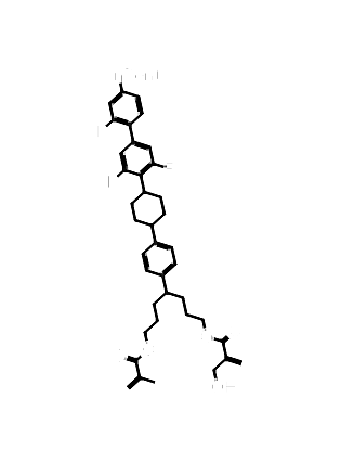 C=C(C)C(=O)OCCCC(CCCOC(=O)C(=C)CO)c1ccc(C2CCC(c3c(F)cc(-c4ccc(CCCCC)cc4F)cc3F)CC2)cc1